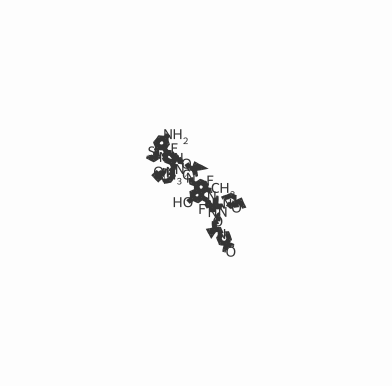 CCc1c(F)cc(CN(C)CC2(COc3nc(N4CCC[C@]5(CCO5)C4)c4cnc(-c5cc(N)ccc5-c5cccs5)c(F)c4n3)CC2)c2cc(O)cc(-c3ncc4c(N5CCC[C@]6(CCO6)C5)nc(OCC5(CN6CCC7(CC6)COC7)CC5)nc4c3F)c12